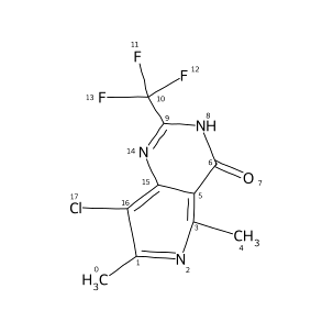 Cc1nc(C)c2c(=O)[nH]c(C(F)(F)F)nc2c1Cl